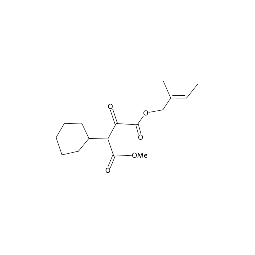 C/C=C(\C)COC(=O)C(=O)C(C(=O)OC)C1CCCCC1